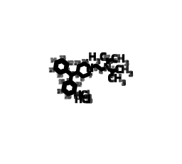 CC(C)N(CCN1CCC(C(c2ccccc2)c2ccccc2)CC1)C(C)C.Cl.Cl